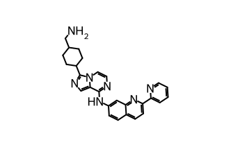 NCC1CCC(c2ncc3c(Nc4ccc5ccc(-c6ccccn6)nc5c4)nccn23)CC1